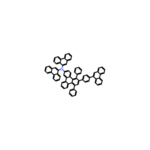 c1ccc(-c2cc(-c3ccc(-c4cc5ccccc5c5ccccc45)cc3)c(-c3ccccc3)c3c4ccc(N(c5cc6ccccc6c6ccccc56)c5cc6ccccc6c6ccccc56)cc4c4ccccc4c23)cc1